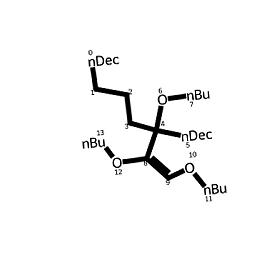 CCCCCCCCCCCCCC(CCCCCCCCCC)(OCCCC)/C(=[C]\OCCCC)OCCCC